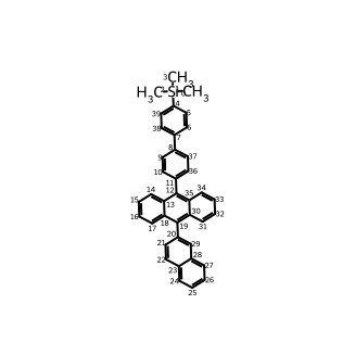 C[Si](C)(C)c1ccc(-c2ccc(-c3c4ccccc4c(-c4ccc5ccccc5c4)c4ccccc34)cc2)cc1